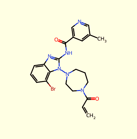 C=CC(=O)N1CCCN(n2c(NC(=O)c3cncc(C)c3)nc3cccc(Br)c32)CC1